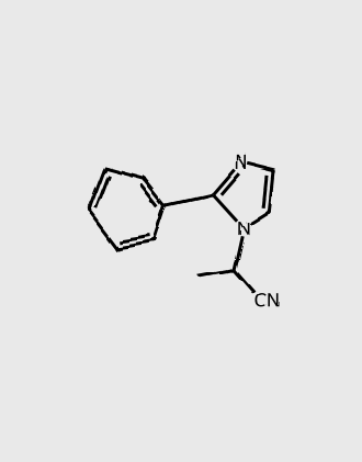 CC(C#N)n1ccnc1-c1ccccc1